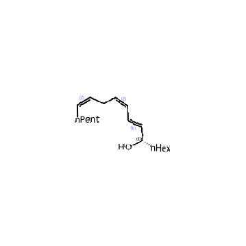 CCCCC/C=C\C/C=C\C=C\[C@@H](O)CCCCCC